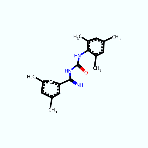 Cc1cc(C)cc(C(=N)NC(=O)Nc2c(C)cc(C)cc2C)c1